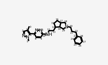 Cc1cnn(C)c1-c1ccc(NCCC2CCC3CN(CCCc4ccccc4)CC23)nn1